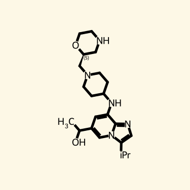 CC(C)c1cnc2c(NC3CCN(C[C@@H]4CNCCO4)CC3)cc(C(C)O)cn12